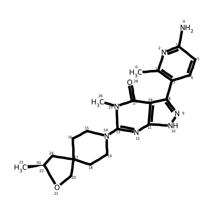 Cc1nc(N)ccc1-c1n[nH]c2nc(N3CCC4(CC3)CO[C@@H](C)C4)n(C)c(=O)c12